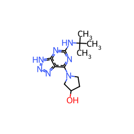 CC(C)(C)Nc1nc(N2CCC(O)C2)c2nn[nH]c2n1